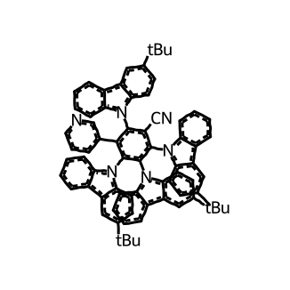 Cc1ccc2c(c1)c1ccccc1n2-c1c(C#N)c(-n2c3ccccc3c3cc(C(C)(C)C)ccc32)c(-c2cccnc2)c(-n2c3ccccc3c3cc(C(C)(C)C)ccc32)c1-n1c2ccccc2c2cc(C(C)(C)C)ccc21